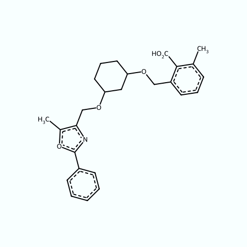 Cc1cccc(COC2CCCC(OCc3nc(-c4ccccc4)oc3C)C2)c1C(=O)O